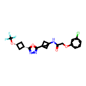 O=C(COc1cccc(Cl)c1)NC12CC(c3nnc([C@H]4C[C@@H](OC(F)(F)F)C4)o3)(C1)C2